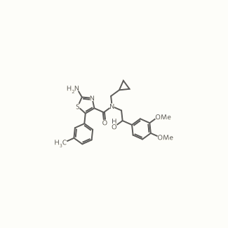 COc1ccc(C(O)CN(CC2CC2)C(=O)c2nc(N)sc2-c2cccc(C)c2)cc1OC